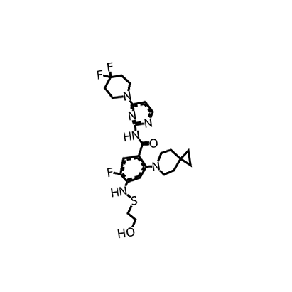 O=C(Nc1nccc(N2CCC(F)(F)CC2)n1)c1cc(F)c(NSCCO)cc1N1CCC2(CC1)CC2